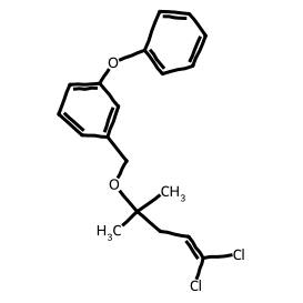 CC(C)(CC=C(Cl)Cl)OCc1cccc(Oc2ccccc2)c1